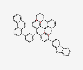 c1cc(-c2cccc3c2ccc2ccccc23)cc(N(c2ccc(-c3ccc4c(c3)oc3ccccc34)cc2)c2ccccc2-c2cccc3cccc(C4CCCCC4)c23)c1